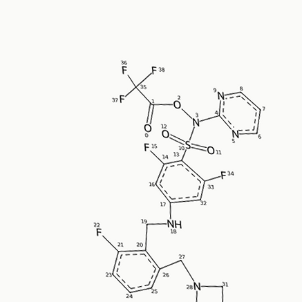 O=C(ON(c1ncccn1)S(=O)(=O)c1c(F)cc(NCc2c(F)cccc2CN2CCC2)cc1F)C(F)(F)F